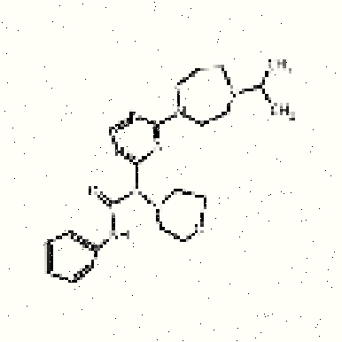 CC(C)N1CCCN(c2ncnc(N(C(=O)Nc3ccccc3)N3CCOCC3)n2)CC1